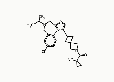 CC(N1Cc2cc(Cl)ccc2-n2c(nnc2C2CC3(C2)CN(C(=O)C2(C#N)CC2)C3)C1)C(F)(F)F